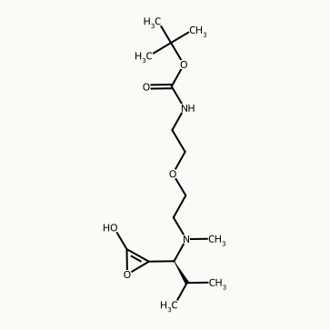 CC(C)[C@@H](C1=C(O)O1)N(C)CCOCCNC(=O)OC(C)(C)C